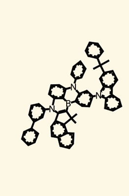 CC1(C)C2=C(c3ccc4ccccc4c31)N(c1cccc(-c3ccccc3)c1)c1cccc3c1B2c1ccc(-n2c4ccccc4c4ccc(C(C)(C)c5ccccc5)cc42)cc1N3c1ccccc1